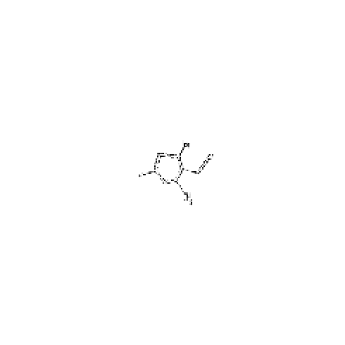 Cc1cc(F)cc(Br)c1C=O